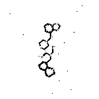 CC(C)CN(Cc1cccc2cccnc12)C(=O)[C@H]1CN(Cc2cccc3c2OCO3)CCO1